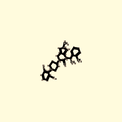 C[C@@H](c1ccccc1C(F)(F)F)N1C(=O)N(C2CCN(c3c(F)cccc3F)CC2)Cc2cn(C)nc21